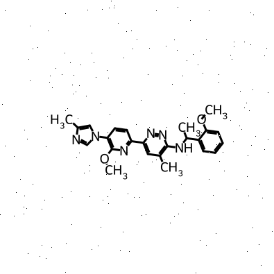 COc1ccccc1C(C)Nc1nnc(-c2ccc(-n3cnc(C)c3)c(OC)n2)cc1C